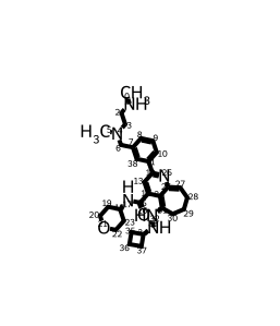 CNCCN(C)Cc1cccc(-c2cc(C(=O)NC3CCOCC3)c3c(n2)=CCCCC=3NNC2CCC2)c1